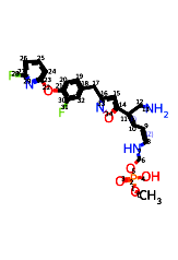 COP(=O)(O)OCN/C=C\C=C(/CN)c1cc(Cc2ccc(Oc3cccc(F)n3)c(F)c2)no1